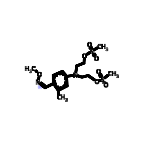 CO/N=C\c1ccc(N(CCOS(C)(=O)=O)CCOS(C)(=O)=O)cc1C